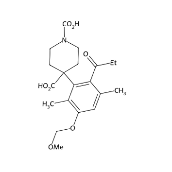 CCC(=O)c1c(C)cc(OCOC)c(C)c1C1(C(=O)O)CCN(C(=O)O)CC1